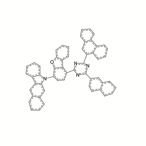 c1ccc2cc(-c3nc(-c4cc5ccccc5c5ccccc45)nc(-c4ccc(-n5c6ccccc6c6cc7ccccc7cc65)c5oc6ccccc6c45)n3)ccc2c1